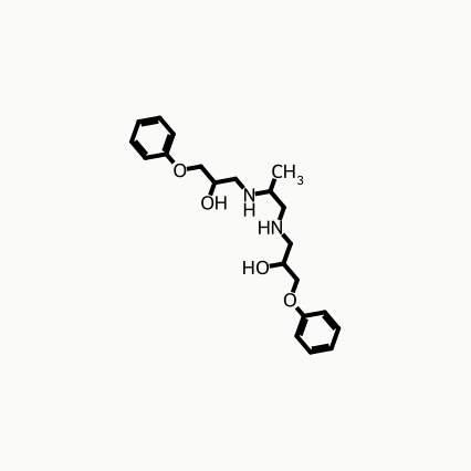 CC(CNCC(O)COc1ccccc1)NCC(O)COc1ccccc1